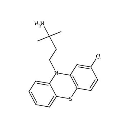 CC(C)(N)CCN1c2ccccc2Sc2ccc(Cl)cc21